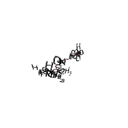 COc1cc2nc(C)nc(N[C@H](C)c3cc(N)cc(C(F)(F)F)c3)c2cc1C1CCC(C(=O)N2CCC(CCC3CCN(C(=O)c4ccc(Cl)c(N5CCC(=O)NC5=O)c4)CC3)CC2)CC1